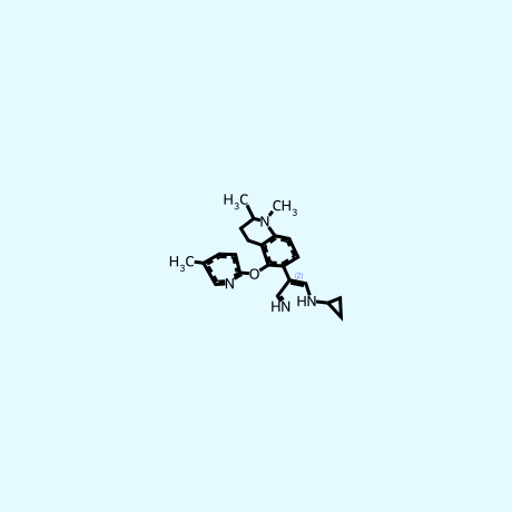 Cc1ccc(Oc2c(/C(C=N)=C/NC3CC3)ccc3c2CCC(C)N3C)nc1